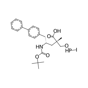 CC(C)(C)OC(=O)N[C@H](Cc1ccc(-c2ccccc2)cc1)C[C@@](C)(COPI)C(=O)O